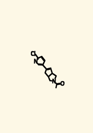 CC(=O)N1CC2C=C(c3ccc(Cl)nc3)CC2C1